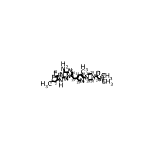 CCCC(Nc1nc(N)c2ncc(Cc3cnc(N4CCN(C(=O)CN(C)C)CC4)c(C)c3)n2n1)C(F)(F)F